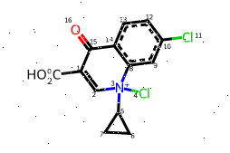 O=C(O)C1=C[N+](Cl)(C2CC2)c2cc(Cl)ccc2C1=O